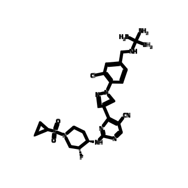 BC(B)(B)NCc1ccc(-n2cc(-c3nc(N[C@H]4CCN(S(=O)(=O)C5CC5)C[C@H]4F)ncc3C#N)cn2)c(Cl)c1